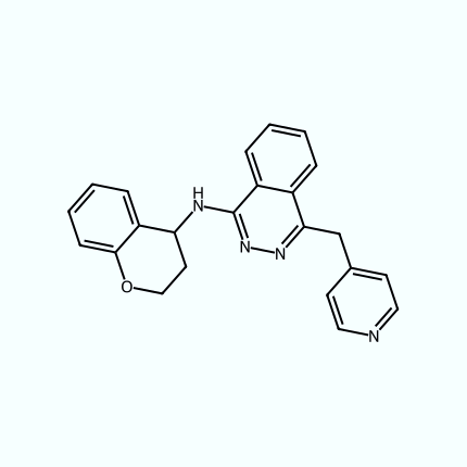 c1ccc2c(c1)OCCC2Nc1nnc(Cc2ccncc2)c2ccccc12